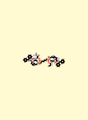 CCC(=O)N[C@H]1CN(S(=O)(=O)CC/C=C/CCS(=O)(=O)N2CC[C@H]3CC[C@@H](C(=O)NC(c4ccccc4)c4ccccc4)N3C(=O)[C@@H](NC(=O)[C@H](C)NC)C2)CC[C@H]2CCC(C(=O)NC(c3ccccc3)c3ccccc3)N2C1=O